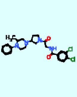 CC1CN(C2CCN(C(=O)CNC(=O)c3ccc(Cl)c(Cl)c3)C2)CCN1c1ccccc1